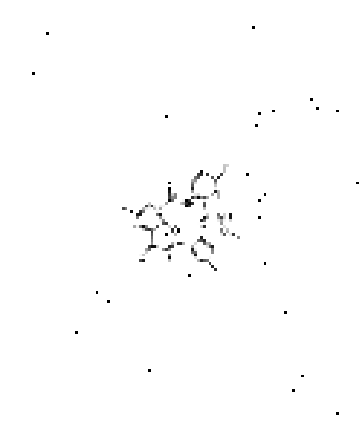 CONC(=O)c1nc(F)ccc1N[C@H](C)c1cc(C)cc2c(=O)c(C)c(-c3ccn(C)c3)oc12